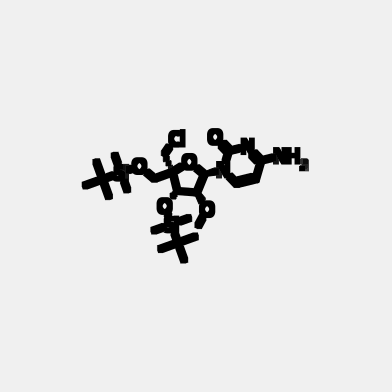 CO[C@@H]1[C@H](n2ccc(N)nc2=O)O[C@](CCl)(CO[Si](C)(C)C(C)(C)C)[C@H]1O[Si](C)(C)C(C)(C)C